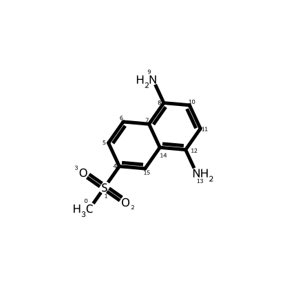 CS(=O)(=O)c1ccc2c(N)ccc(N)c2c1